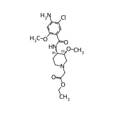 CCOC(=O)CN1CC[C@@H](NC(=O)c2cc(Cl)c(N)cc2OC)[C@@H](OC)C1